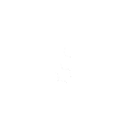 CCCCCC(CC)Oc1ncncn1